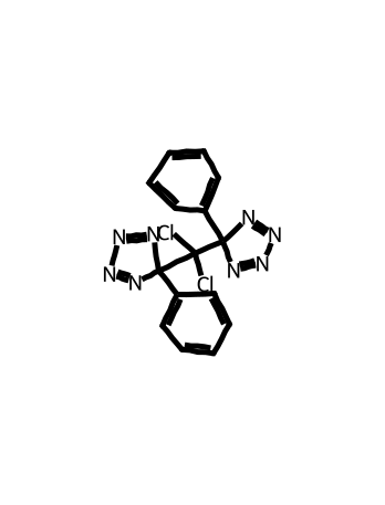 ClC(Cl)(C1(c2ccccc2)N=NN=N1)C1(c2ccccc2)N=NN=N1